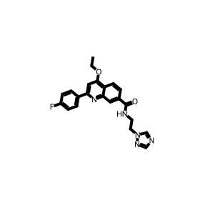 CCOc1cc(-c2ccc(F)cc2)nc2cc(C(=O)NCCn3cncn3)ccc12